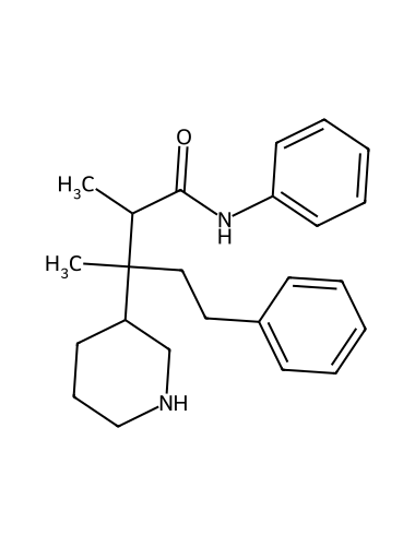 CC(C(=O)Nc1ccccc1)C(C)(CCc1ccccc1)C1CCCNC1